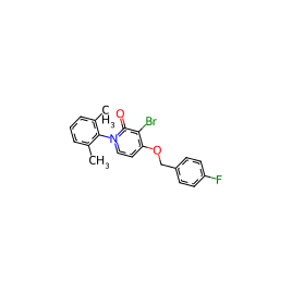 Cc1cccc(C)c1-n1ccc(OCc2ccc(F)cc2)c(Br)c1=O